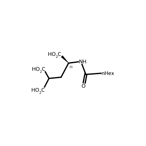 CCCCCCC(=O)N[C@@H](CC(C(=O)O)C(=O)O)C(=O)O